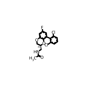 CC(=O)NC[C@H]1COc2cc(F)cc(-c3c(Cl)cccc3Cl)c2O1